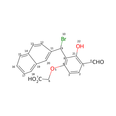 O=Cc1ccc(OCC(=O)O)c(C(Br)c2ccc3ccccc3c2)c1O